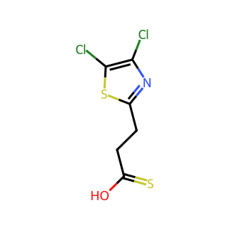 OC(=S)CCc1nc(Cl)c(Cl)s1